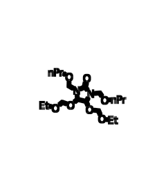 CCCOCN1C(=O)N(COCCC)C(OCOCC)C1OCOCC